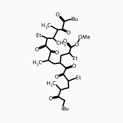 CCC(C)CC(=O)C(C)CC(CC)C(=O)C(=O)C(CC(C)C(=O)C(=O)C(CC)C(C)C(C)C(=O)C(=O)C(C)CC)CC(CC)C(=O)OOC